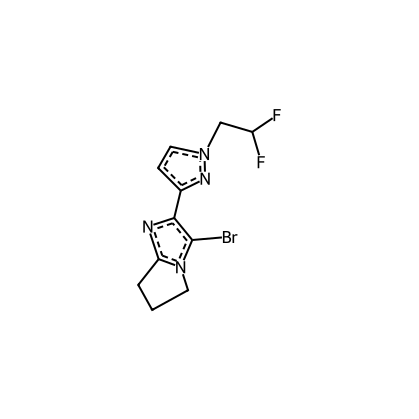 FC(F)Cn1ccc(-c2nc3n(c2Br)CCC3)n1